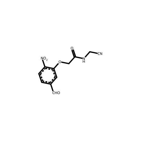 N#CCNC(=O)COc1cc(C=O)ccc1[N+](=O)[O-]